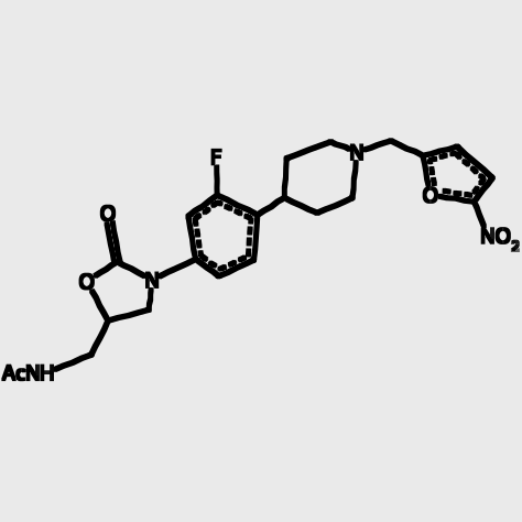 CC(=O)NCC1CN(c2ccc(C3CCN(Cc4ccc([N+](=O)[O-])o4)CC3)c(F)c2)C(=O)O1